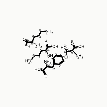 CSCC[C@H](N)C(=O)O.C[C@@H](O)[C@H](N)C(=O)O.NCCC[C@H](N)C(=O)O.N[C@@H](Cc1ccccc1)C(=O)O